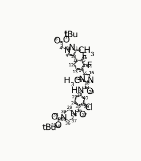 Cc1nn(CC(=O)OC(C)(C)C)cc1-c1ccc(-c2cnc(C(=O)Nc3ccc(C(=O)N4CCN(C(=O)OC(C)(C)C)CC4)c(Cl)c3)n2C)c(F)c1F